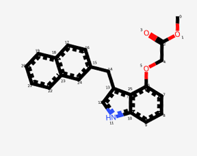 COC(=O)COc1cccc2[nH]cc(Cc3ccc4ccccc4c3)c12